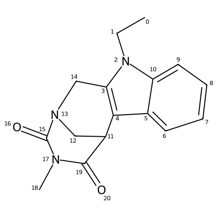 CCn1c2c(c3ccccc31)C1CN(C2)C(=O)N(C)C1=O